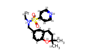 CC(C)CN(Cc1ccc2c(c1)C=CC(C)(C)O2)S(=O)(=O)c1ccncc1